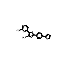 Cc1nc(-c2ccc(-c3ccco3)cc2)sc1-c1ccnc(N)n1